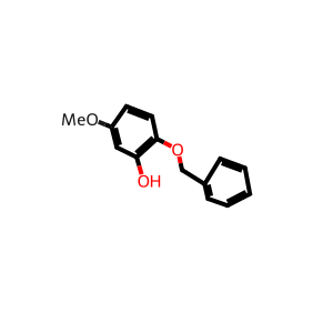 COc1ccc(OCc2ccccc2)c(O)c1